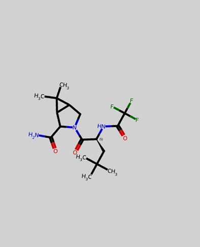 CC(C)(C)C[C@H](NC(=O)C(F)(F)F)C(=O)N1CC2C(C1C(N)=O)C2(C)C